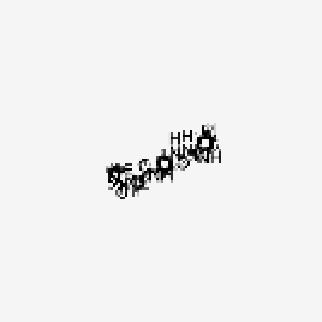 O=C(Nc1ccc(NC(=O)C2CCN(C(=O)c3sccc3F)C2)cc1)Nc1c[nH]c2ccc(Cl)cc12